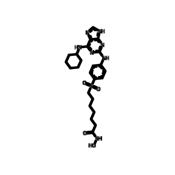 O=C(CCCCCCS(=O)(=O)c1ccc(Nc2nc(NC3CCCCC3)c3nc[nH]c3n2)cc1)NO